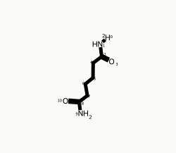 [2H]NC(=O)CCCCC(N)=O